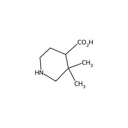 CC1(C)CNCCC1C(=O)O